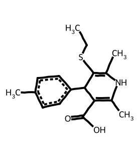 CCSC1=C(C)NC(C)=C(C(=O)O)C1c1ccc(C)cc1